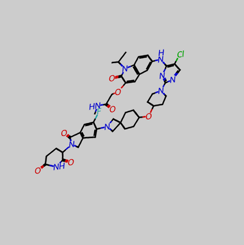 CNC(=O)COc1cc2cc(Nc3nc(N4CCC(OC5CCC6(CC5)CN(c5cc7c(cc5F)C(=O)N(C5CCC(=O)NC5=O)C7)C6)CC4)ncc3Cl)ccc2n(C(C)C)c1=O